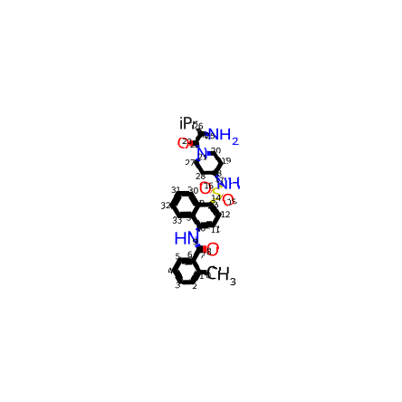 Cc1ccccc1C(=O)Nc1ccc(S(=O)(=O)NC2CCN(C(=O)C(N)C(C)C)CC2)c2ccccc12